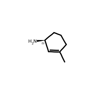 CC1=C[C@@H](N)CCC1